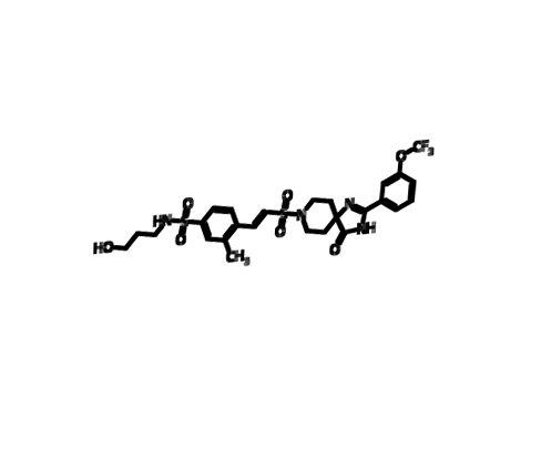 Cc1cc(S(=O)(=O)NCCCO)ccc1C=CS(=O)(=O)N1CCC2(CC1)N=C(c1cccc(OC(F)(F)F)c1)NC2=O